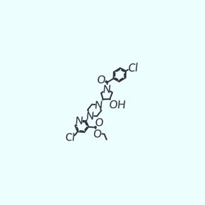 CCOC(=O)c1cc(Cl)cnc1N1CCN([C@@H]2CN(C(=O)c3ccc(Cl)cc3)C[C@H]2O)CC1